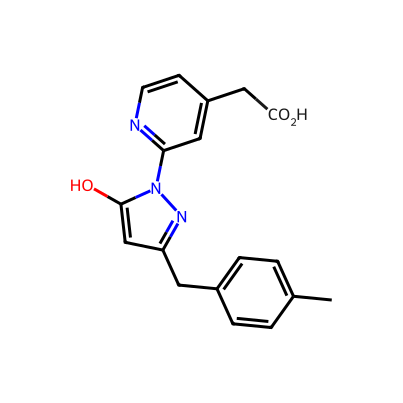 Cc1ccc(Cc2cc(O)n(-c3cc(CC(=O)O)ccn3)n2)cc1